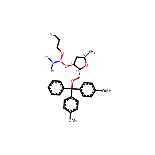 B[C@H]1C[C@H](OP(OCCC#N)N(C(C)C)C(C)C)[C@@H](COC(c2ccccc2)(c2ccc(OC)cc2)c2ccc(OC)cc2)O1